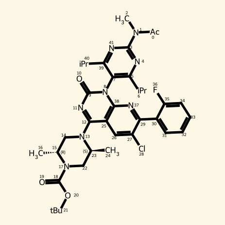 CC(=O)N(C)c1nc(C(C)C)c(-n2c(=O)nc(N3C[C@@H](C)N(C(=O)OC(C)(C)C)C[C@@H]3C)c3cc(Cl)c(-c4ccccc4F)nc32)c(C(C)C)n1